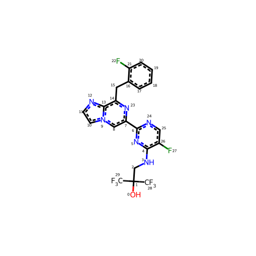 OC(CNc1nc(-c2cn3ccnc3c(Cc3ccccc3F)n2)ncc1F)(C(F)(F)F)C(F)(F)F